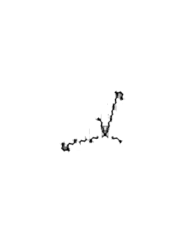 C#CCCOCC(COCCC#C)(COCCC(=O)NCCNC(=O)CCN1C(=O)C=CC1=O)COCCC(=O)NCCNC(=O)CCN1C(=O)C=CC1=O